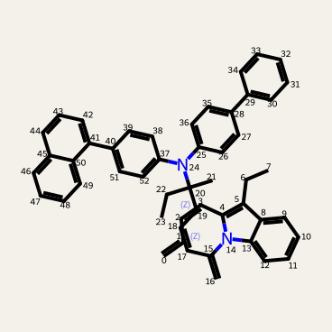 C=C/C=C\c1c(CC)c2ccccc2n1C(=C)/C=C\CC(C)(CC)N(c1ccc(-c2ccccc2)cc1)c1ccc(-c2cccc3ccccc23)cc1